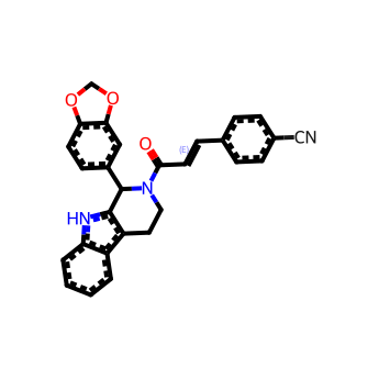 N#Cc1ccc(/C=C/C(=O)N2CCc3c([nH]c4ccccc34)C2c2ccc3c(c2)OCO3)cc1